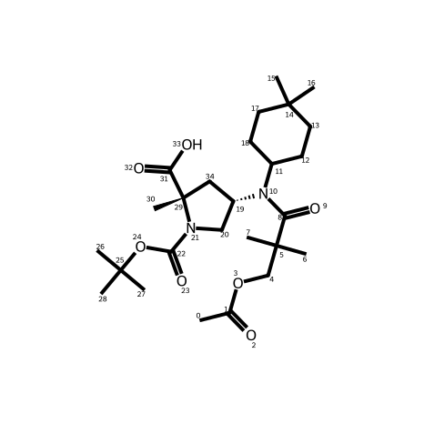 CC(=O)OCC(C)(C)C(=O)N(C1CCC(C)(C)CC1)[C@@H]1CN(C(=O)OC(C)(C)C)[C@](C)(C(=O)O)C1